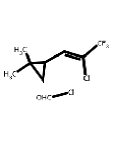 CC1(C)CC1/C=C(\Cl)C(F)(F)F.O=CCl